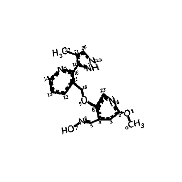 COc1cc(/C=N/O)c(OCc2cccnc2-c2[nH]ncc2C)cn1